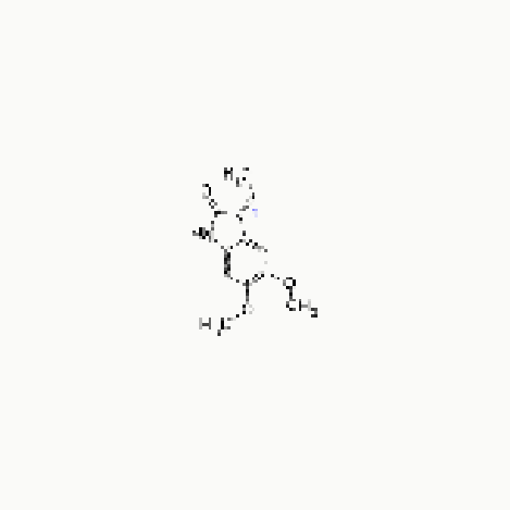 C/C=C1\C(=O)Nc2cc(OC)c(OC)cc21